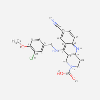 COc1ccc(CNc2c3c(nc4ccc(C#N)cc24)CCN(C(=O)O)C3)cc1Cl